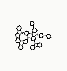 c1ccc(-c2ccc(N3c4ccc(-c5ccccc5)cc4B4c5ccc(-n6c7ccccc7c7ccccc76)cc5N(c5ccc6c7ccccc7c7ccccc7c6c5)c5cc(-n6c7ccccc7c7ccccc76)cc3c54)cc2)cc1